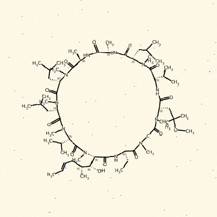 C/C=C/C[C@@H](C)[C@@H](O)[C@H]1C(=O)N[C@@H](CC)C(=O)N(C)CC(=O)N(C)[C@@H](CC(C)(C)OC)C(=O)N[C@@H](C(C)C)C(=O)N(C)[C@@H](CC(C)C)C(=O)N[C@@H](C)C(=O)N[C@H](C)C(=O)N(C)[C@@H](CC(C)C)C(=O)N(C)[C@@H](CC(C)C)C(=O)N(C)[C@@H](C(C)C)C(=O)N1C